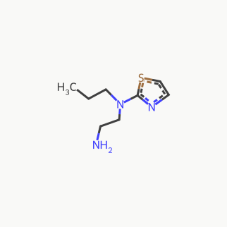 CCCN(CCN)c1nccs1